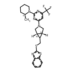 C[C@H]1CCCCN1c1nc(N2C[C@@H]3C(CSc4nc5ccccc5s4)[C@@H]3C2)cc(C(F)(F)F)n1